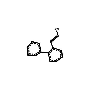 N#CC=Cc1ccccc1-c1ccccc1